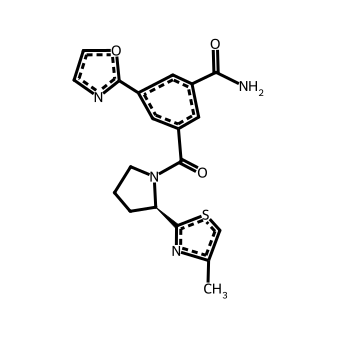 Cc1csc([C@H]2CCCN2C(=O)c2cc(C(N)=O)cc(-c3ncco3)c2)n1